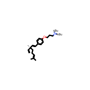 C=C[C@@](C)(/C=C/c1ccc(OCCCN(CCCC)CCCC)cc1)CCC=C(C)C